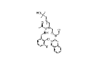 CC(=O)N(NCc1cccc(F)c1Cl)[C@@H](CNCC(C)(C)O)CON(C=O)c1cc2ccccc2cn1